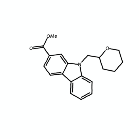 COC(=O)c1ccc2c3ccccc3n(CC3CCCCO3)c2c1